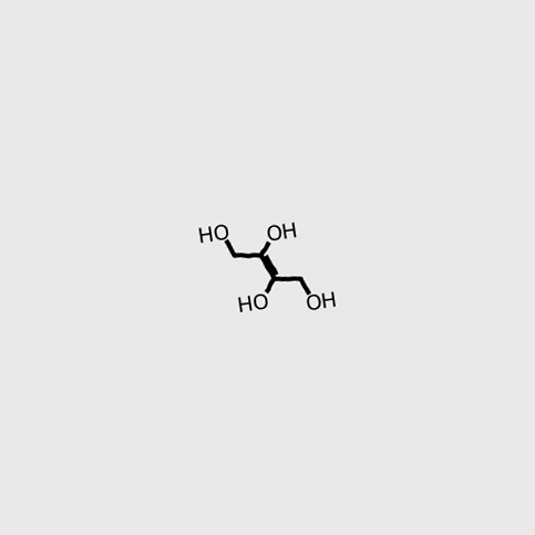 OCC(O)=C(O)CO